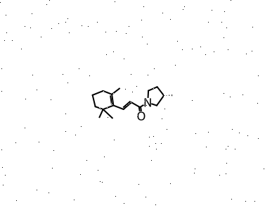 CC1=C(/C=C/C(=O)N2CC[C@H](C)C2)C(C)(C)CCC1